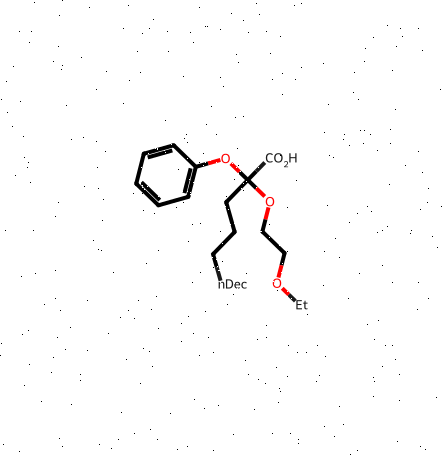 CCCCCCCCCCCCCC(OCCOCC)(Oc1ccccc1)C(=O)O